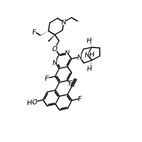 C#Cc1c(F)ccc2cc(O)cc(-c3c(F)cc4c(N5C[C@H]6CC[C@@H](C5)N6)nc(OC[C@@]5(C)CN(CC)CC[C@H]5CF)nc4c3F)c12